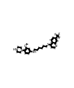 COc1cc(NCCCCCCSc2ccnc3cc(C(F)(F)F)ccc23)ccc1N1CCNCC1